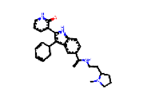 C=C(NCCC1CCCN1C)c1ccc2[nH]c(-c3ccc[nH]c3=O)c(C3C=CC=CC3)c2c1